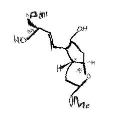 CCCCC[C@H](O)C=CC1C(O)C[C@H]2OC(OC)C[C@H]12